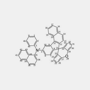 c1ccc(N(c2ccc3c(c2)-c2c(ccc4ccccc24)C32c3ccccc3Oc3ccccc32)c2cccc3ccccc23)cc1